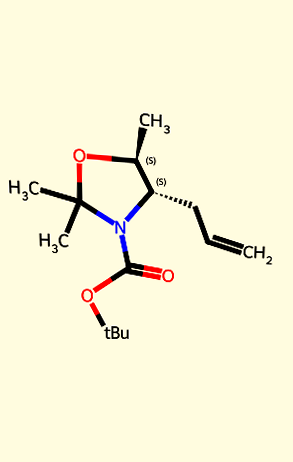 C=CC[C@H]1[C@H](C)OC(C)(C)N1C(=O)OC(C)(C)C